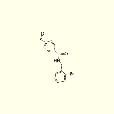 O=Cc1ccc(C(=O)NCc2ccccc2Br)cc1